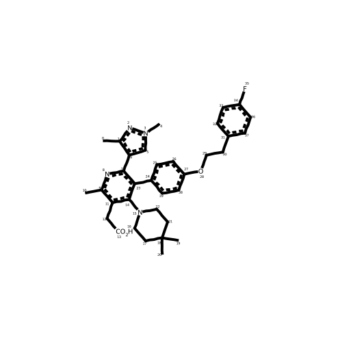 Cc1nn(C)cc1-c1nc(C)c(CC(=O)O)c(N2CCC(C)(C)CC2)c1-c1ccc(OCCc2ccc(F)cc2)cc1